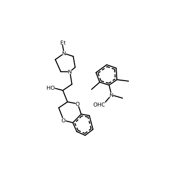 CCN1CCN(CC(O)C2COc3ccccc3O2)CC1.Cc1cccc(C)c1N(C)C=O